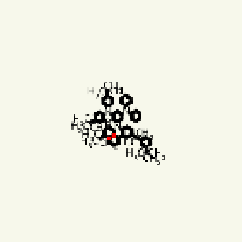 CC(C)(C)c1ccc(N2c3ccc(C(C)(C)C)cc3B3c4cc(C(C)(C)C)ccc4N(c4ccc(C(C)(C)c5cccc(C(C)(C)C)c5)cc4-c4ccccc4)c4cc(N(c5ccccc5)c5ccccc5)cc2c43)cc1